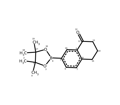 CC1(C)OB(c2ccc3c(c2)C(=O)CCC3)OC1(C)C